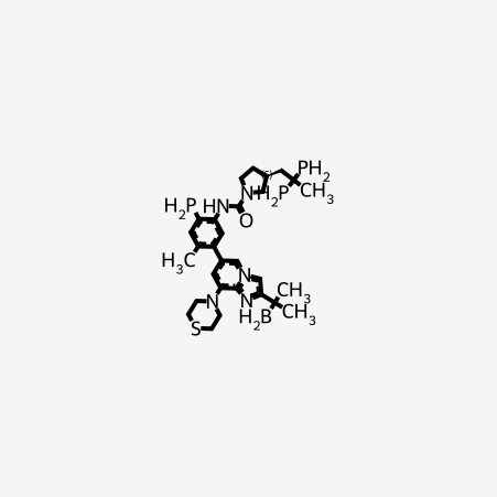 BC(C)(C)c1cn2cc(-c3cc(NC(=O)N4CC[C@@H](CC(C)(P)P)C4)c(P)cc3C)cc(N3CCSCC3)c2n1